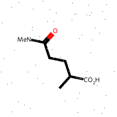 CNC(=O)CCC(C)C(=O)O